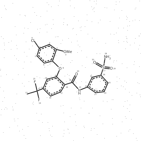 COc1cc(Cl)ccc1Oc1cc(C(C)(F)F)ccc1C(=O)Nc1cccc(S(N)(=O)=O)c1